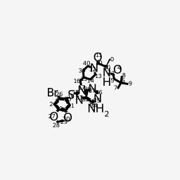 C[C@@H](NC(=O)CC(C)(C)C)C(=O)N1CCC(Cn2c(Sc3cc4c(cc3Br)OCCO4)nc3c(N)ncnc32)CC1